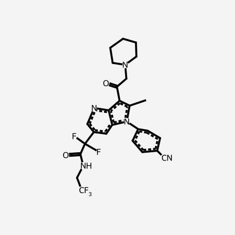 Cc1c(C(=O)CN2CCCCC2)c2ncc(C(F)(F)C(=O)NCC(F)(F)F)cc2n1-c1ccc(C#N)cc1